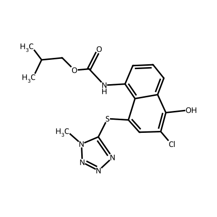 CC(C)COC(=O)Nc1cccc2c(O)c(Cl)cc(Sc3nnnn3C)c12